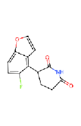 O=C1CCC(c2c(F)ccc3occc23)C(=O)N1